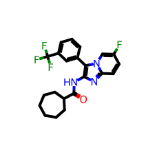 O=C(Nc1nc2ccc(F)cn2c1-c1cccc(C(F)(F)F)c1)C1CCCCCC1